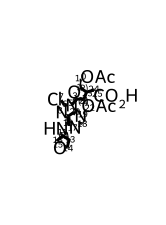 CC(=O)OC[C@@H]1OC(n2c(Cl)nc3c(N[C@@H]4CCOC4)ncnc32)[C@@H](OC(C)=O)C1CC(=O)O